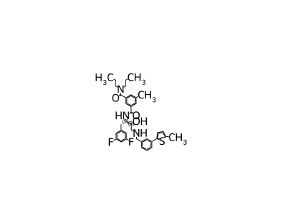 CCCN(CCC)C(=O)c1cc(C)cc(C(=O)N[C@@H](Cc2cc(F)cc(F)c2)[C@H](O)CNCc2cccc(-c3ccc(C)s3)c2)c1